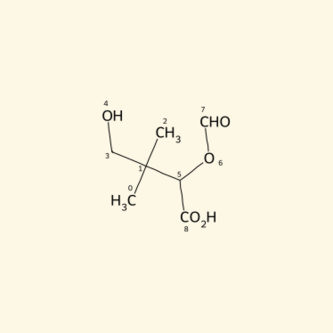 CC(C)(CO)C(OC=O)C(=O)O